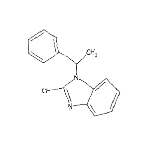 CC(c1ccccc1)n1c(Cl)nc2ccccc21